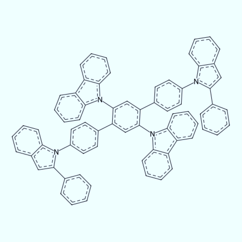 c1ccc(-c2cc3ccccc3n2-c2ccc(-c3cc(-n4c5ccccc5c5ccccc54)c(-c4ccc(-n5c(-c6ccccc6)cc6ccccc65)cc4)cc3-n3c4ccccc4c4ccccc43)cc2)cc1